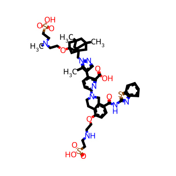 Cc1c(-c2ccc(N3CCc4c(OCCNCCS(=O)(=O)O)ccc(C(=O)Nc5nc6ccccc6s5)c4C3)nc2C(=O)O)cnn1CC12CC3(C)CC(C)(C1)CC(OCCN(C)CCS(=O)(=O)O)(C3)C2